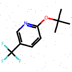 CC(C)(C)Oc1ccc(C(F)(F)F)cn1